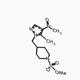 COS(=O)(=O)N1CCC(Cn2ncc([N+](C)=O)c2C)CC1